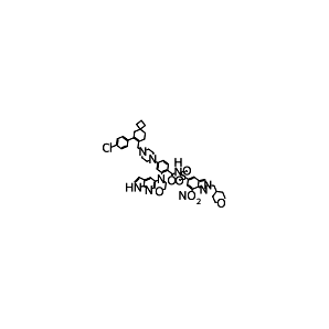 O=C(NS(=O)(=O)c1cc([N+](=O)[O-])c2nn(CC3CCOCC3)cc2c1)c1ccc(N2CCN(CC3=C(c4ccc(Cl)cc4)CC4(CCC4)CC3)CC2)cc1N1CCOc2nc3[nH]ccc3cc21